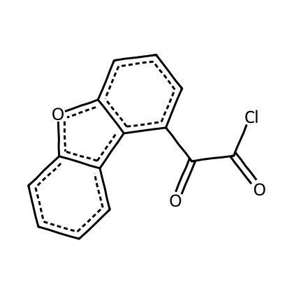 O=C(Cl)C(=O)c1cccc2oc3ccccc3c12